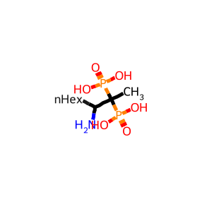 CCCCCCC(N)C(C)(P(=O)(O)O)P(=O)(O)O